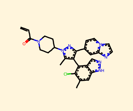 C=CC(=O)N1CCC(n2nc(-c3ccn4ccnc4c3)c(-c3c(Cl)c(C)cc4[nH]ncc34)c2C)CC1